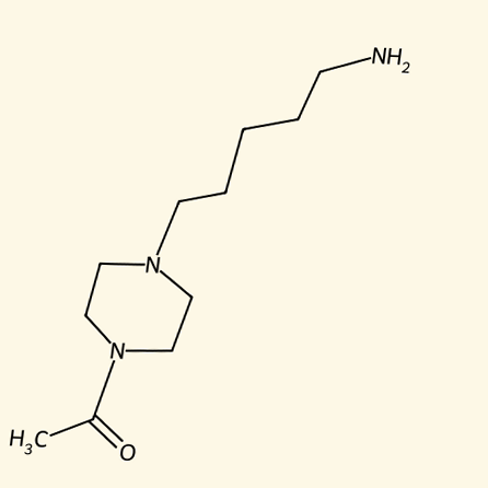 CC(=O)N1CCN(CCCCCN)CC1